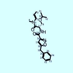 C/C=C/N(C)C(=O)[C@H](COC(C)C)NC(=O)c1cc(Cc2ccccc2)on1